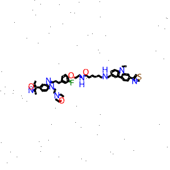 CCn1c2ccc(CNCCCCCC(=O)NCCOc3ccc(CCc4nc5cc(-c6c(C)noc6C)ccc5n4CCN4CCOCC4)cc3F)cc2c2ccc(-c3cscn3)cc21